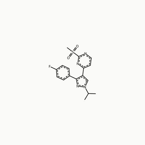 CC(C)n1cc(-c2ccnc(S(C)(=O)=O)n2)c(-c2ccc(F)cc2)n1